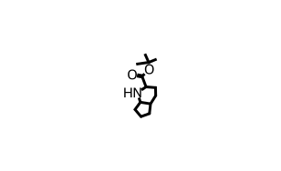 CC(C)(C)OC(=O)C1CCC2CCCC2N1